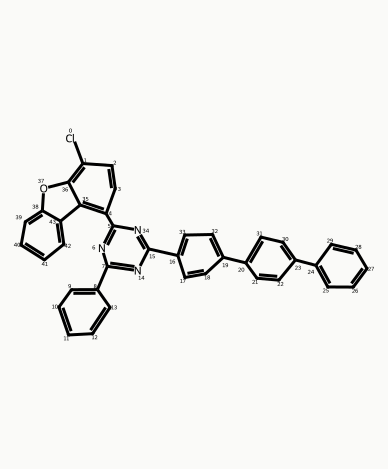 Clc1ccc(-c2nc(-c3ccccc3)nc(-c3ccc(-c4ccc(-c5ccccc5)cc4)cc3)n2)c2c1oc1ccccc12